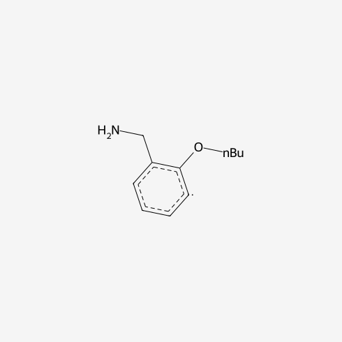 CCCCOc1[c]cccc1CN